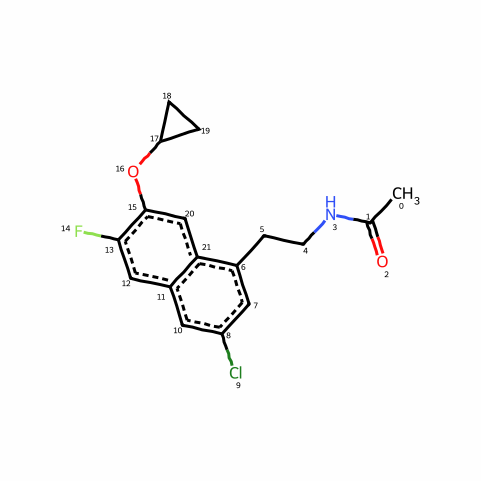 CC(=O)NCCc1cc(Cl)cc2cc(F)c(OC3CC3)cc12